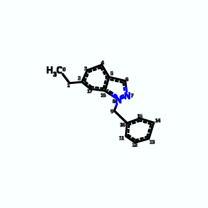 CCc1ccc2cnn(Cc3ccccc3)c2c1